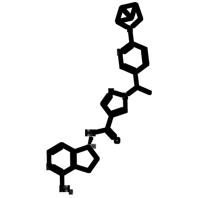 CC(c1ccc(N2CC3C4C3C42)nc1)n1cc(C(=O)N[C@@H]2CCc3c2ccnc3N)cn1